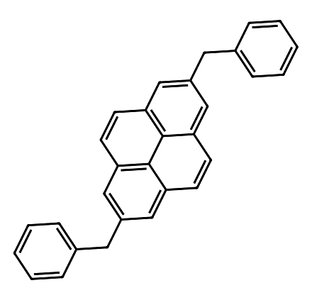 c1ccc(Cc2cc3ccc4cc(Cc5ccccc5)cc5ccc(c2)c3c45)cc1